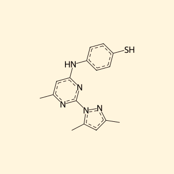 Cc1cc(Nc2ccc(S)cc2)nc(-n2nc(C)cc2C)n1